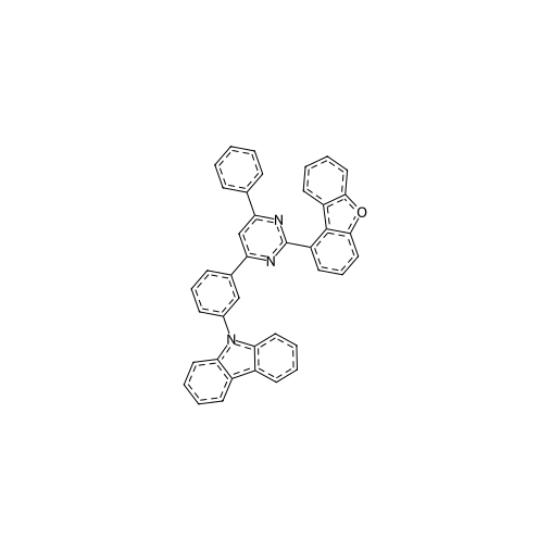 c1ccc(-c2cc(-c3cccc(-n4c5ccccc5c5ccccc54)c3)nc(-c3cccc4oc5ccccc5c34)n2)cc1